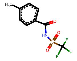 Cc1ccc(C(=O)NS(=O)(=O)C(F)(F)F)cc1